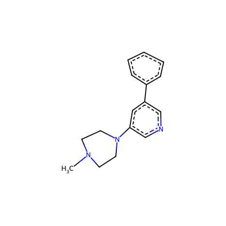 CN1CCN(c2cncc(-c3ccccc3)c2)CC1